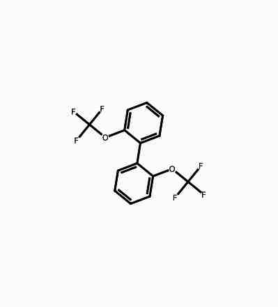 FC(F)(F)Oc1ccccc1-c1ccccc1OC(F)(F)F